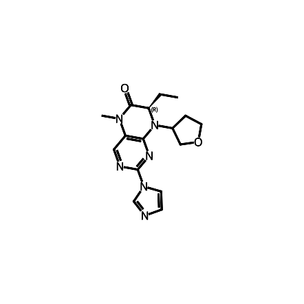 CC[C@@H]1C(=O)N(C)c2cnc(-n3ccnc3)nc2N1C1CCOC1